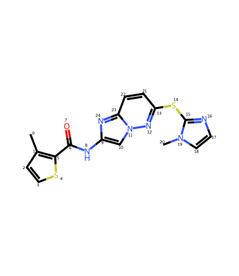 Cc1ccsc1C(=O)Nc1cn2nc(Sc3nccn3C)ccc2n1